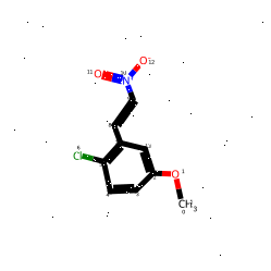 COc1ccc(Cl)c(C=C[N+](=O)[O-])c1